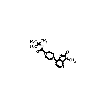 Cn1c(Cl)nc2c(N3CCN(C(=O)OC(C)(C)C)CC3)ncnc21